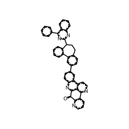 O=C1c2ncccc2-c2nccc3c2c1nc1ccc(-c2ccc4c(c2)-c2ccccc2C(c2nc(-c5ccccc5)c5ccccc5n2)CC4)cc13